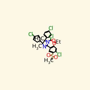 CCOc1cc(Cl)c(S(C)(=O)=O)cc1C1=N[C@@](C)(C2C=CC(Cl)=CC2)[C@@](C)(c2ccc(Cl)cc2)N1C(=O)Cl